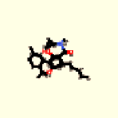 C=C(C)C1CCC(C)=CC1c1c(O)cc(CCCCC)c(C(=O)N(C)C2CC2)c1O